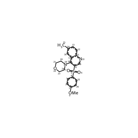 COc1ccc(S(=O)(=O)c2cnc3ccc(C)cc3c2N2CCOCC2)cc1